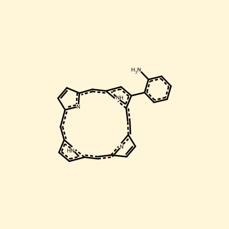 Nc1ccccc1-c1cc2cc3nc(cc4ccc(cc5nc(cc1[nH]2)C=C5)[nH]4)C=C3